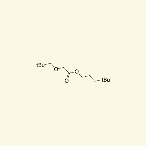 CC(C)(C)CCCOC(=O)COCC(C)(C)C